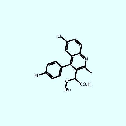 CCc1ccc(-c2c(C(OC(C)(C)C)C(=O)O)c(C)nc3ccc(Cl)cc23)cc1